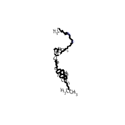 CCCCC/C=C\C/C=C\CCCCCCCCOCC(CN1CCC(OC)C1)OCCOCCO[C@H]1CC[C@@]2(C)C(=CC[C@H]3[C@@H]4CC[C@H](CCCCC(C)C)[C@@]4(C)CC[C@@H]32)C1